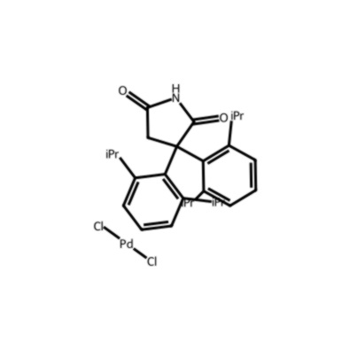 CC(C)c1cccc(C(C)C)c1C1(c2c(C(C)C)cccc2C(C)C)CC(=O)NC1=O.[Cl][Pd][Cl]